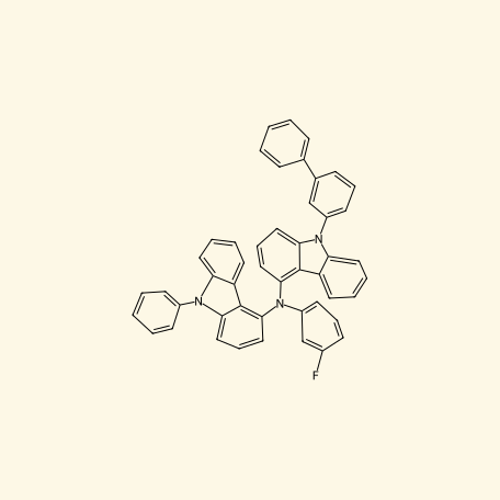 Fc1cccc(N(c2cccc3c2c2ccccc2n3-c2ccccc2)c2cccc3c2c2ccccc2n3-c2cccc(-c3ccccc3)c2)c1